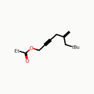 C=C(CC#CCOC(=O)CC)CC(C)(C)C